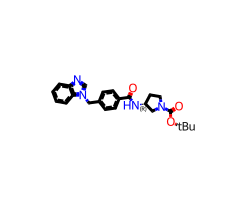 CC(C)(C)OC(=O)N1CC[C@@H](NC(=O)c2ccc(Cn3cnc4ccccc43)cc2)C1